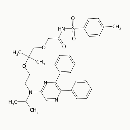 Cc1ccc(S(=O)(=O)NC(=O)COCC(C)(C)OCCN(c2cnc(-c3ccccc3)c(-c3ccccc3)n2)C(C)C)cc1